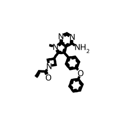 C=CC(=O)N1CC(c2c(-c3ccc(Oc4ccccc4)cc3)c3c(N)ncnc3n2C)C1